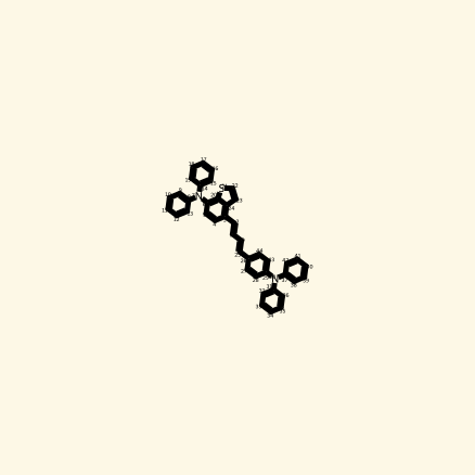 C(C=Cc1ccc(N(c2ccccc2)c2ccccc2)c2sccc12)=Cc1ccc(N(c2ccccc2)c2ccccc2)cc1